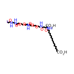 O=C(O)CCCCCCCCCCCCCCCCC(=O)N[C@@H](CCC(=O)NCCOCCOCC(=O)NCCOCCOCC(=O)NCCNC(=O)CI)C(=O)O